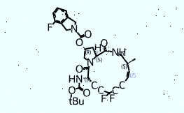 C[C@H]1/C=C\CCC(F)(F)CC[C@H](NC(=O)OC(C)(C)C)C(=O)N2C[C@H](OC(=O)N3Cc4cccc(F)c4C3)C[C@H]2C(=O)N[C@@H]1C